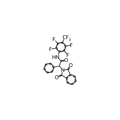 O=C(Nc1c(F)c(F)c(C(F)(F)F)c(F)c1F)C(c1ccccc1)N1C(=O)c2ccccc2C1=O